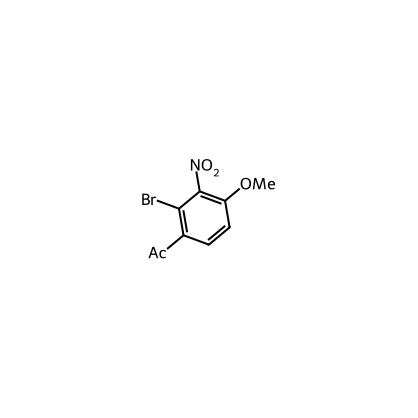 COc1ccc(C(C)=O)c(Br)c1[N+](=O)[O-]